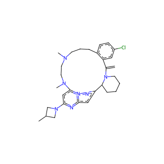 C=C1c2cc(Cl)ccc2CCCN(C)CCN(C)c2cc(N3CC(C)C3)nc3cc(nn23)C2CCCCN12